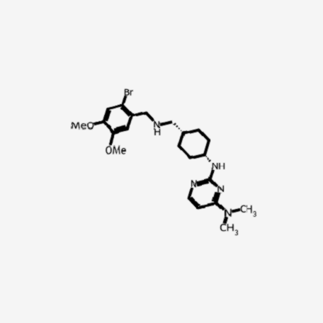 COc1cc(Br)c(CNC[C@H]2CC[C@@H](Nc3nccc(N(C)C)n3)CC2)cc1OC